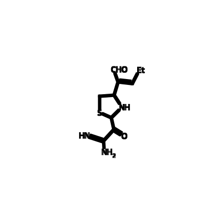 CC/C=C(\C=O)C1CSC(C(=O)C(=N)N)N1